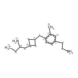 BCCc1ccc(CC2CN(CC(N)CC)C2)c(C)c1